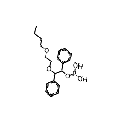 CCCCOCCOC(c1ccccc1)C(OP(O)O)c1ccccc1